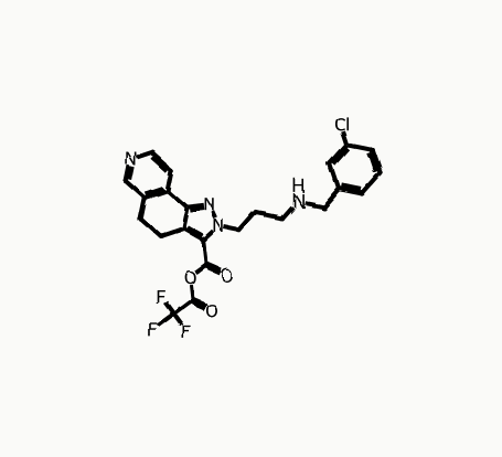 O=C(OC(=O)C(F)(F)F)c1c2c(nn1CCCNCc1cccc(Cl)c1)-c1ccncc1CC2